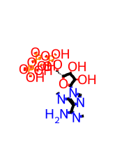 C=Nc1c(/C(N)=N\C)ncn1C1O[C@H](COP(=O)(O)OP(=O)(O)OP(=O)(O)O)[C@@H](O)[C@H]1O